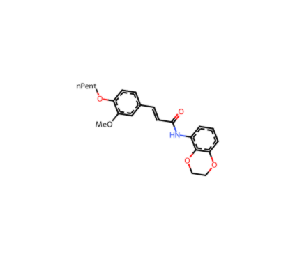 CCCCCOc1ccc(C=CC(=O)Nc2cccc3c2OCCO3)cc1OC